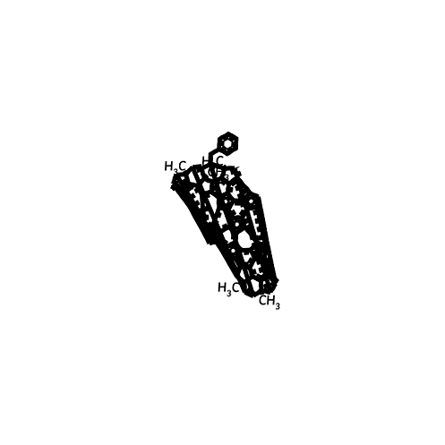 CC12C3=C4C5(C)c6c1c1c7c2c2c8c9c%10c%11c%12c%13c%14c%15c%16c%17c(c5c5c6c6c1c1c%18c7c8c7c8c9c%12c9c%12c%13c%16c%13c%16c%17c5c5c6c1c1c(c%187)c(c89)c(c%12%13)c1c5%16)C%15(C)C4(Cc1ccccc1)C(=C3C2%10C)C%11%14C